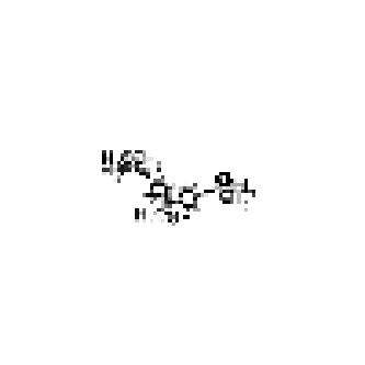 CC(O)C(c1ccc(C#C[Si](C)(C)C)cc1)c1ccc(C#C[Si](C)(C)C)cc1